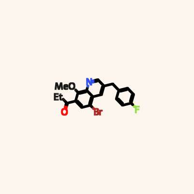 CCC(=O)c1cc(Br)c2cc(Cc3ccc(F)cc3)cnc2c1OC